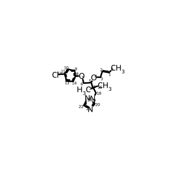 CC=CCOC(COc1ccc(Cl)cc1)C(C)(C)Cn1cncn1